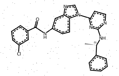 C[C@H](Nc1nccc(-n2cnc3cc(NC(=O)c4cccc(Cl)c4)ccc32)n1)c1ccccc1